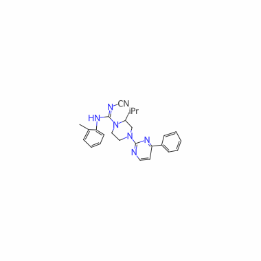 Cc1ccccc1N/C(=N/C#N)N1CCN(c2nccc(-c3ccccc3)n2)CC1C(C)C